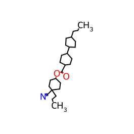 CCCC1CCC(C2CCC(C(=O)OC3CCC(C#N)(CCC)CC3)CC2)CC1